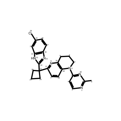 Cc1nccc(N2CCCc3nc(C4(c5nc6ccc(Cl)cc6[nH]5)CCC4)ccc32)n1